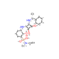 CC[C@@H](Nc1c(Nc2cccc(S(=O)(=O)N(CC)OC)c2O)c(=O)c1=O)c1ccccc1